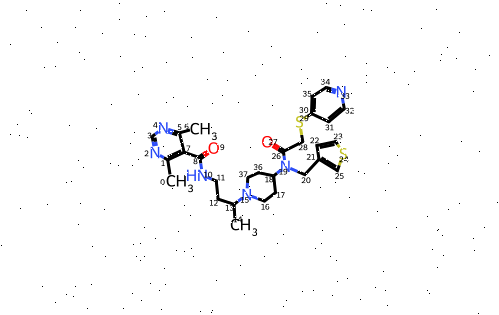 Cc1ncnc(C)c1C(=O)NCCC(C)N1CCC(N(Cc2ccsc2)C(=O)CSc2ccncc2)CC1